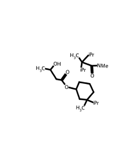 CC(O)CC(=O)OC1CCCC(C)(C(C)C)C1.CNC(=O)C(C)(C(C)C)C(C)C